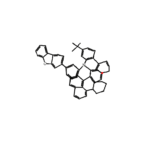 CC(C)(C)c1ccc(C2=CCCC=C2)c(N(c2cccc(-c3ccc4c(c3)oc3ccccc34)c2)c2ccccc2-c2cccc3cccc(C4CCCCC4)c23)c1